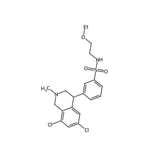 CCOCCNS(=O)(=O)c1cccc(C2CN(C)Cc3c(Cl)cc(Cl)cc32)c1